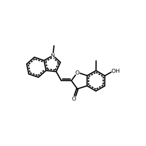 Cc1c(O)ccc2c1O/C(=C\c1cn(C)c3ccccc13)C2=O